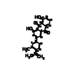 Cc1cc(-c2cc(O)c3c(c2)C(=O)c2cccc(O)c2C3=O)ccc1N(C)C